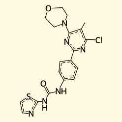 Cc1c(Cl)nc(-c2ccc(NC(=O)Nc3nccs3)cc2)nc1N1CCOCC1